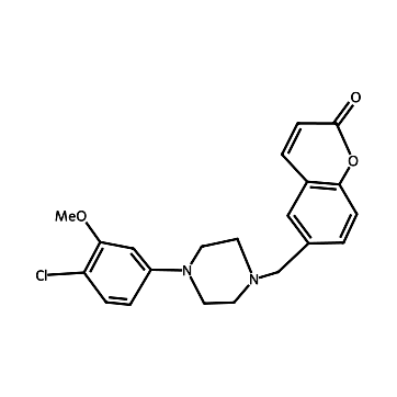 COc1cc(N2CCN(Cc3ccc4oc(=O)ccc4c3)CC2)ccc1Cl